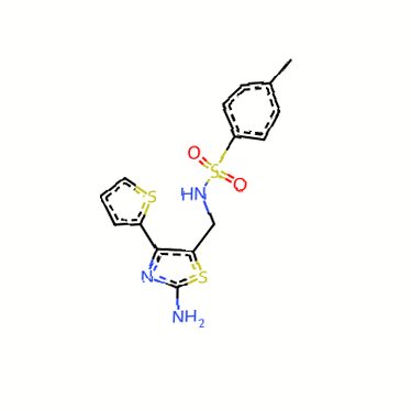 Cc1ccc(S(=O)(=O)NCc2sc(N)nc2-c2cccs2)cc1